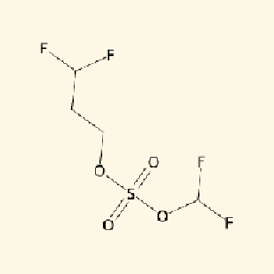 O=S(=O)(OCCC(F)F)OC(F)F